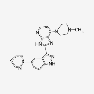 CN1CCN(c2ccnc3[nH]c(-c4n[nH]c5ccc(-c6ccccn6)cc45)nc23)CC1